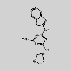 CNc1nc(Nc2nc3ccccc3s2)nc(N[C@@H]2CCNC2)n1